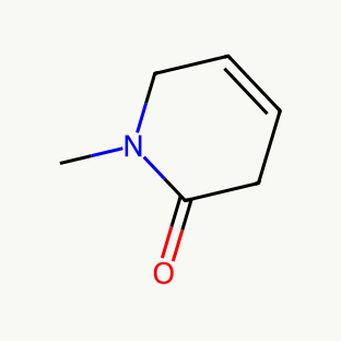 CN1CC=CCC1=O